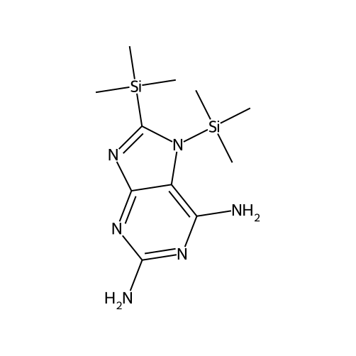 C[Si](C)(C)c1nc2nc(N)nc(N)c2n1[Si](C)(C)C